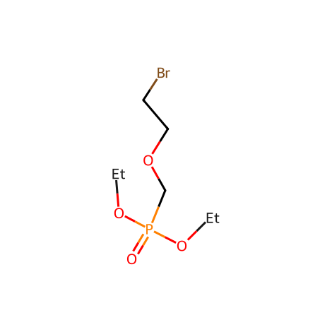 CCOP(=O)(COCCBr)OCC